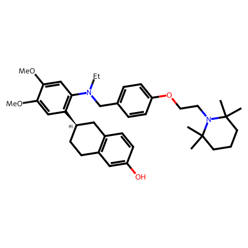 CCN(Cc1ccc(OCCN2C(C)(C)CCCC2(C)C)cc1)c1cc(OC)c(OC)cc1[C@@H]1CCc2cc(O)ccc2C1